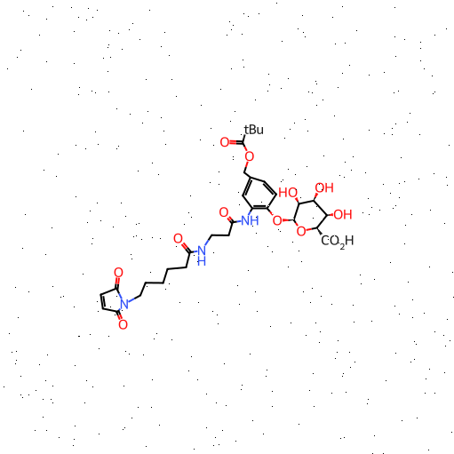 CC(C)(C)C(=O)OCc1ccc(O[C@@H]2O[C@H](C(=O)O)[C@H](O)[C@H](O)[C@@H]2O)c(NC(=O)CCNC(=O)CCCCCN2C(=O)C=CC2=O)c1